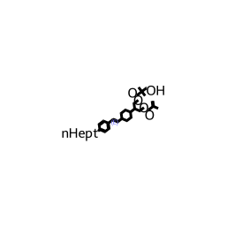 C=C(C)C(=O)OCC(COC(=O)C(C)(C)CO)C1CCC(/C=C/c2ccc(CCCCCCC)cc2)CC1